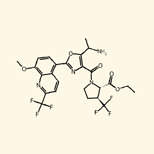 CCOC(=O)[C@@H]1[C@@H](C(F)(F)F)CCN1C(=O)c1nc(-c2ccc(OC)c3nc(C(F)(F)F)ccc23)oc1C(C)N